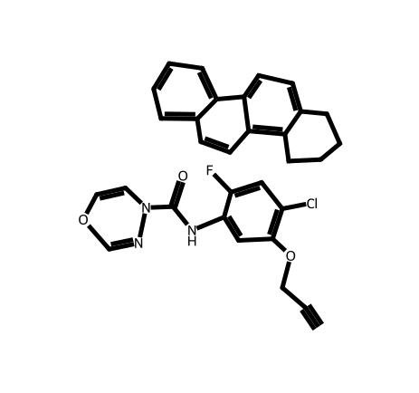 C#CCOc1cc(NC(=O)N2C=COC=N2)c(F)cc1Cl.c1ccc2c(c1)ccc1c3c(ccc12)CCCC3